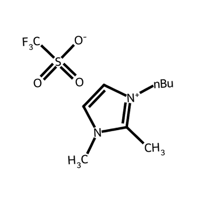 CCCC[n+]1ccn(C)c1C.O=S(=O)([O-])C(F)(F)F